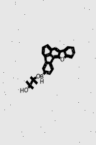 CC(C)(O)C(C)(C)OBc1ccc2c(c1)-c1cccc3cc4c(oc5ccccc54)c-2c13